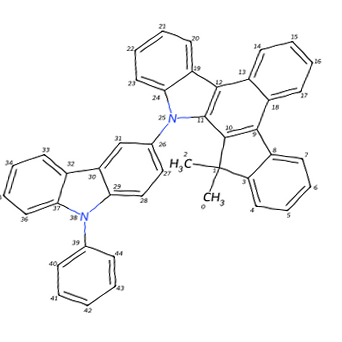 CC1(C)c2ccccc2-c2c1c1c(c3ccccc23)c2ccccc2n1-c1ccc2c(c1)c1ccccc1n2-c1ccccc1